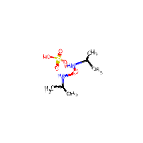 CC(C)NONC(C)C.O=S(=O)(O)O